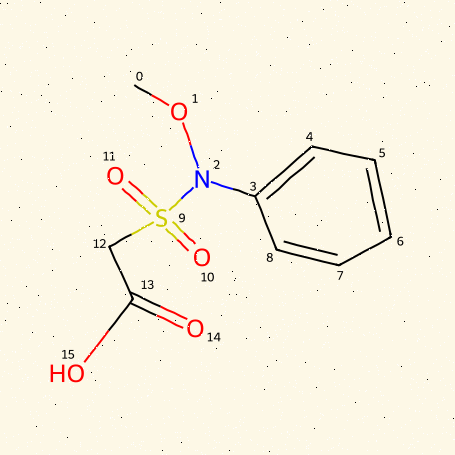 CON(c1ccccc1)S(=O)(=O)CC(=O)O